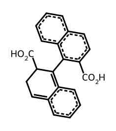 O=C(O)c1ccc2ccccc2c1C1=c2ccccc2=CCC1C(=O)O